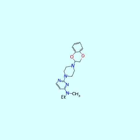 CCN(C)c1ccnc(N2CCN(C3COc4ccccc4O3)CC2)n1